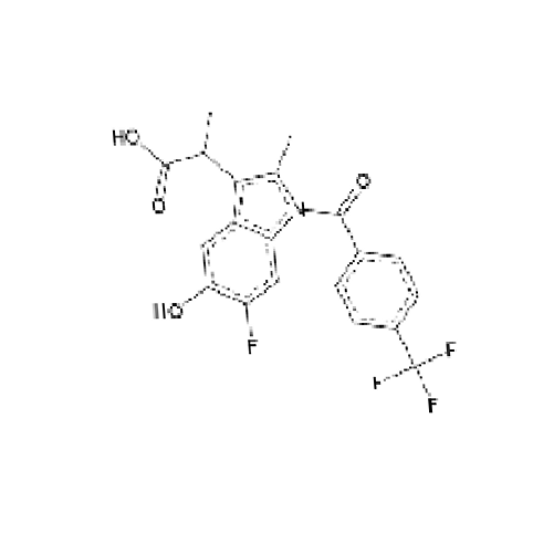 Cc1c(C(C)C(=O)O)c2cc(O)c(F)cc2n1C(=O)c1ccc(C(F)(F)F)cc1